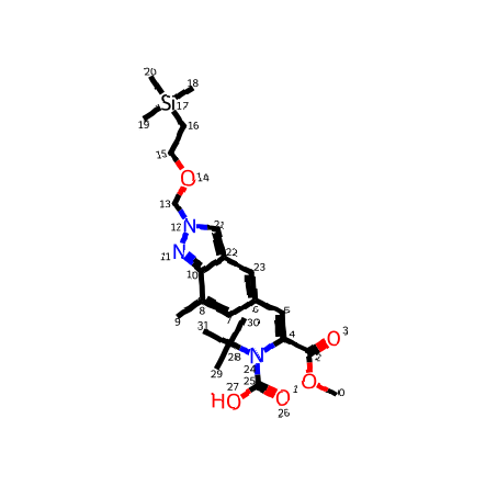 COC(=O)C(=Cc1cc(C)c2nn(COCC[Si](C)(C)C)cc2c1)N(C(=O)O)C(C)(C)C